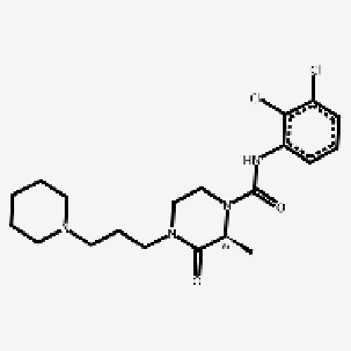 C[C@H]1C(=O)N(CCCN2CCCCC2)CCN1C(=O)Nc1cccc(Cl)c1Cl